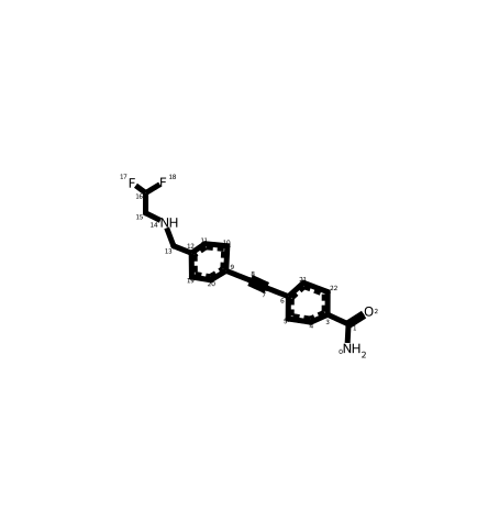 NC(=O)c1ccc(C#Cc2ccc(CNCC(F)F)cc2)cc1